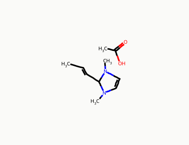 CC(=O)O.CC=CC1N(C)C=CN1C